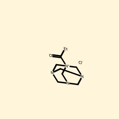 CCC(=O)[N+]12CN3CN(CN(C3)C1)C2.[Cl-]